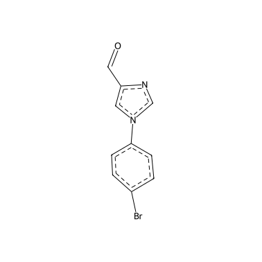 O=Cc1cn(-c2ccc(Br)cc2)cn1